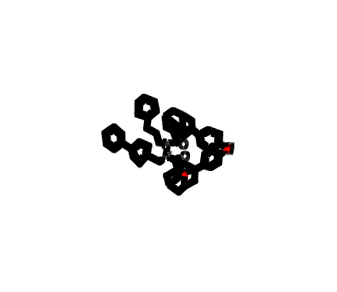 O=C(N(CCCc1ccccc1)N(Cc1ccc(-c2ccccc2)cc1)C(=O)C12CC3CC(C1)CC(c1ccc(Cl)cc1)(C3)C2)C12CC3CC(C1)CC(c1ccc(Cl)cc1)(C3)C2